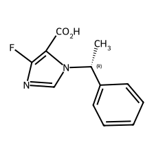 C[C@H](c1ccccc1)n1cnc(F)c1C(=O)O